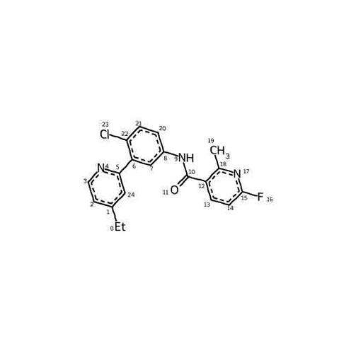 CCc1ccnc(-c2cc(NC(=O)c3ccc(F)nc3C)ccc2Cl)c1